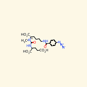 CN(C(=O)NC(CCC(=O)O)C(=O)O)[C@@H](CCCCNC(=O)c1ccc(N=[N+]=[N-])cc1)C(=O)O